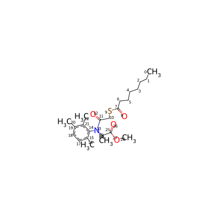 CCCCCCCC(=O)SCC(=O)N(c1c(C)ccc(C)c1C)[C@@H](C)C(=O)OC